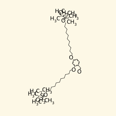 CC(C)[Si](OCCCCCCCCCCCOc1ccc(C=O)c(OCCCCCCCCCCCO[Si](C(C)C)(C(C)C)C(C)C)c1)(C(C)C)C(C)C